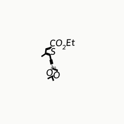 CCOC(=O)c1cc(C)c(C#C[C@@H]2COC(C)(C)O2)s1